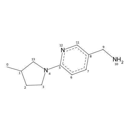 CC1CCN(c2ccc(CN)cn2)C1